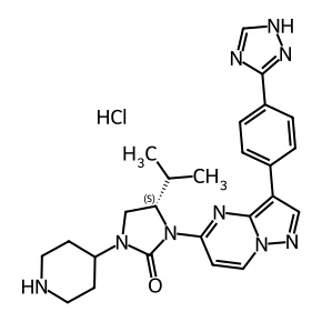 CC(C)[C@H]1CN(C2CCNCC2)C(=O)N1c1ccn2ncc(-c3ccc(-c4nc[nH]n4)cc3)c2n1.Cl